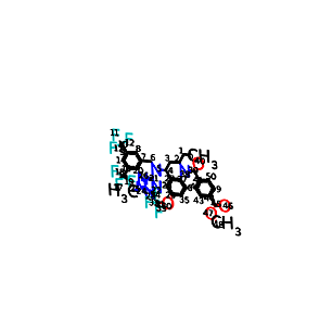 CCC1CC(N(Cc2cc(C(F)(F)F)cc(C(F)(F)F)c2)c2nnn(C)n2)c2cc(OC(F)(F)F)ccc2N1C(=O)c1ccc(C(=O)OC)cc1